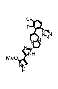 COc1n[nH]cc1-c1cnc([C@@H]2CC[C@@H]3CC(c4c(-n5cnnn5)ccc(Cl)c4F)=CCN32)[nH]1